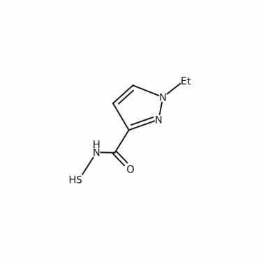 CCn1ccc(C(=O)NS)n1